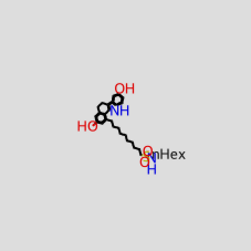 CCCCCCNS(=O)(=O)CCCCCCCCCCc1cc(O)cc2c1-c1[nH]c3ccc(O)cc3c1CC2